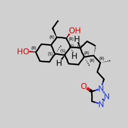 CC[C@@H]1C2C[C@H](O)CC[C@]2(C)[C@H]2CC[C@]3(C)[C@@H]([C@H](C)CCN4N=NCC4=O)CC[C@H]3[C@@H]2[C@@H]1O